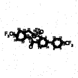 CCS(=O)(=O)c1cc(-c2ccc(C(F)(F)F)cc2)cnc1C(=O)N1CCc2cc(C(F)(F)F)ccc21